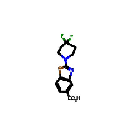 O=C(O)c1ccc2sc(N3CCC(F)(F)CC3)nc2c1